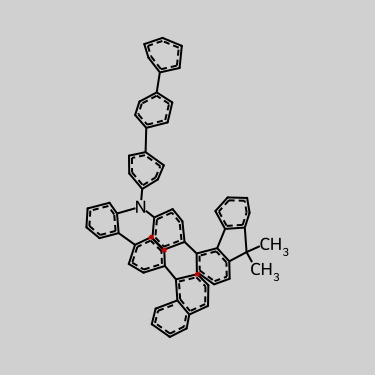 CC1(C)c2ccccc2-c2c(-c3ccc(N(c4ccc(-c5ccc(-c6ccccc6)cc5)cc4)c4ccccc4-c4ccc(-c5cccc6ccccc56)cc4)cc3)cccc21